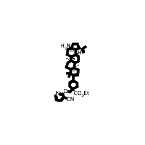 C=C(C)[C@@H]1CC[C@]2(N)CC[C@]3(C)[C@H](CCC4[C@@]5(C)CC=C(C6=CC[C@](COc7ncccc7C#N)(C(=O)OCC)CC6)C(C)(C)C5CC[C@]43C)C12